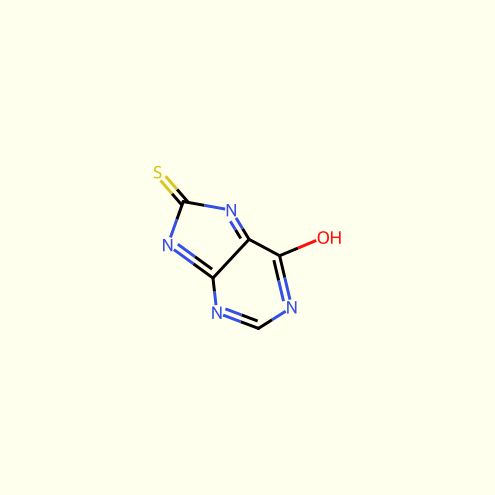 Oc1ncnc2c1=NC(=S)N=2